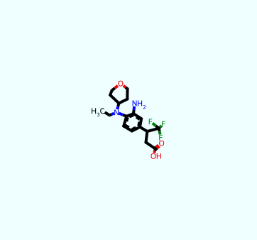 CCN(c1ccc(C(CC(=O)O)C(F)(F)F)cc1N)C1CCOCC1